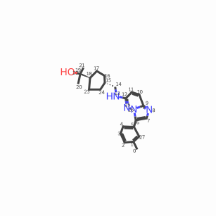 Cc1cccc(-c2cnc3ccc(NC[C@H]4CC[C@H](C(C)(C)O)CC4)nn23)c1